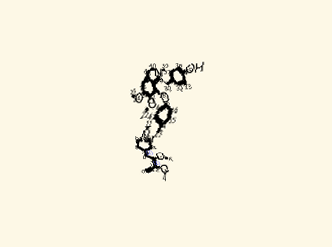 C#C/C(OC)=C(\C=C1\CCN(C)[C@H](Cc2ccc(Oc3c(OC)c(OC)cc4c3[C@@H](Cc3ccc(O)cc3)N(C)CC4)cc2)C1)OC